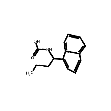 CCCC(NC(=O)O)c1cccc2ccccc12